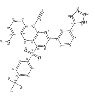 C#COc1nc(-c2cccc(-c3nnn[nH]3)c2)nc(S(=O)(=O)c2ccc(C(C)(C)C)cc2)c1Oc1ccccc1OC